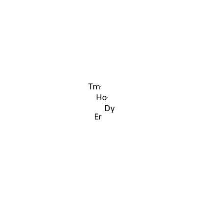 [Dy].[Er].[Ho].[Tm]